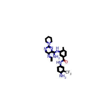 C=C/N=C1/C=NC(N2CCCCC2)=N/C1=C(/N)Nc1cc(C(=O)Nc2ccc(N)c(C(F)(F)F)c2)ccc1C